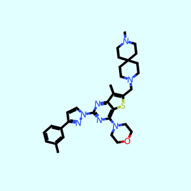 Cc1cccc(-c2ccn(-c3nc(N4CCOCC4)c4sc(CN5CCC6(CCN(C)CC6)CC5)c(C)c4n3)n2)c1